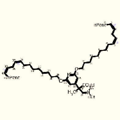 CCCCC/C=C\C/C=C\CCCCCCCCOc1cc(C(C)(CN(CC)CC)C(=O)O)cc(OCCCCCCCC/C=C\C/C=C\CCCCC)n1